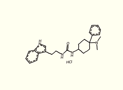 CN(C)C1(c2ccccc2)CCC(NC(=O)NCCc2c[nH]c3ccccc23)CC1.Cl